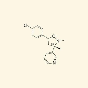 CN1OC(c2ccc(Cl)cc2)C[C@@]1(C)c1cccnc1